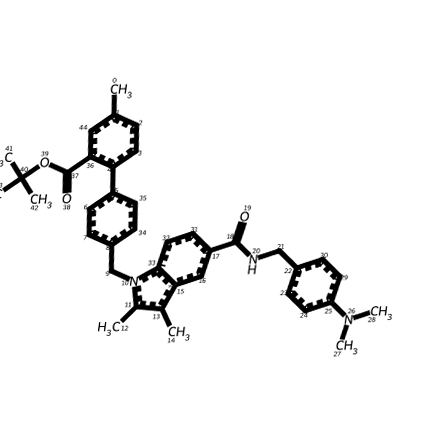 Cc1ccc(-c2ccc(Cn3c(C)c(C)c4cc(C(=O)NCc5ccc(N(C)C)cc5)ccc43)cc2)c(C(=O)OC(C)(C)C)c1